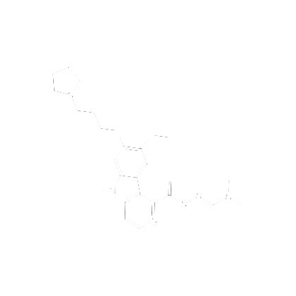 COc1cc2c(cc1OCCCN1CCCC1)[nH]c1ccnc(C(=O)N/N=C/N(C)C)c12